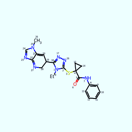 CCn1c(SC2(C(=O)Nc3ccccc3)CC2)nnc1C1C=c2c(ncn2C)=NC1